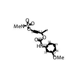 CNS(=O)(=O)OC#CC(C)OC(=O)Nc1cccc(OC)c1